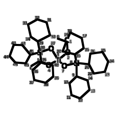 CC[O][Ti]([O]CC)([O][Si](C1CCCCC1)(C1CCCCC1)C1CCCCC1)[O][Si](C1CCCCC1)(C1CCCCC1)C1CCCCC1